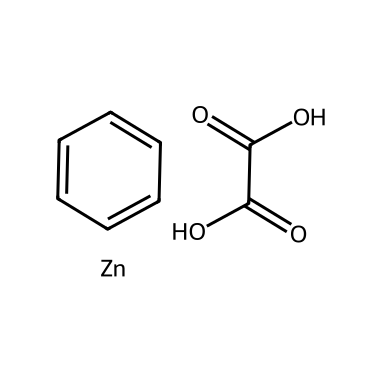 O=C(O)C(=O)O.[Zn].c1ccccc1